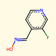 ON=Cc1ccncc1F